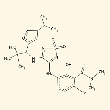 CC(C)c1coc([C@H](NC2=NS(=O)(=O)N=C2Nc2ccc(Br)c(C(=O)N(C)C)c2O)C(C)(C)C)c1